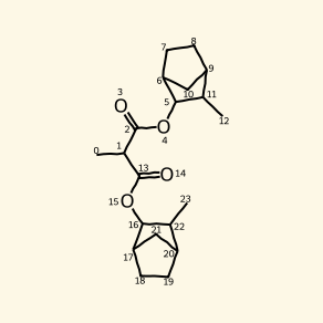 CC(C(=O)OC1C2CCC(C2)C1C)C(=O)OC1C2CCC(C2)C1C